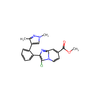 COC(=O)c1ccn2c(Cl)c(-c3ccccc3-c3cn(C)nc3C)nc2c1